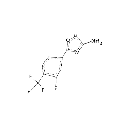 Nc1noc(-c2ccc(C(F)(F)F)c(F)c2)n1